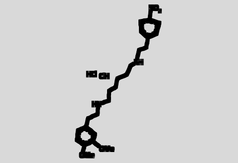 COc1ccc(CCNCCCCCCNCCc2ccc([N+](=O)[O-])cc2)cc1OC.Cl.Cl